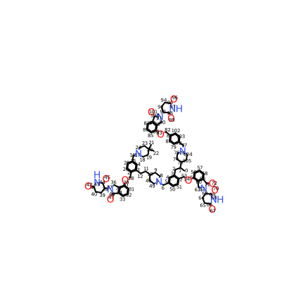 CC(Cc1cc(CN2CCC(CCc3cc(CN4CCC(C)(C)CC4)ccc3COc3cccc4c3CN(C3CCC(=O)NC3=O)C4=O)CC2)ccc1COc1cccc2c1CN(C1CCC(=O)NC1=O)C2=O)C1CCN(Cc2ccc(COc3cccc4c3CN(C3CCC(=O)NC3=O)C4=O)cc2)CC1